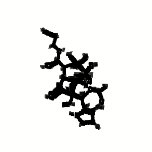 C=CCOC(=O)[C@@H]1N2C(=O)[C@@](Br)(C(OC(C)=O)c3nccs3)[C@H]2S(=O)(=O)C1(C)C